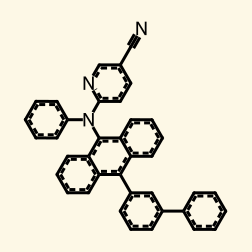 N#Cc1ccc(N(c2ccccc2)c2c3ccccc3c(-c3cccc(-c4ccccc4)c3)c3ccccc23)nc1